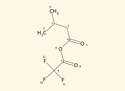 CC(C)CC(=O)OC(=O)C(F)(F)F